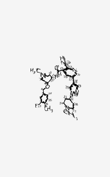 CCc1cc(CO[C@H]2CN(C)C[C@@H]2NC(=O)c2cc(-c3cnn(C4CCN(C)CC4)c3)cnc2N)ccc1C